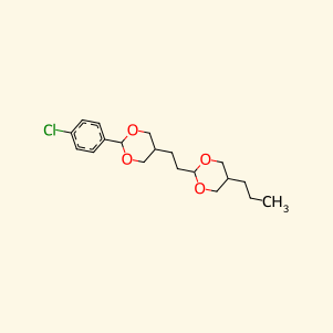 CCCC1COC(CCC2COC(c3ccc(Cl)cc3)OC2)OC1